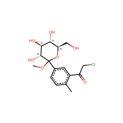 COC1(c2ccc(C)c(C(=O)CCl)c2)O[C@H](CO)[C@@H](O)[C@H](O)[C@H]1O